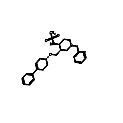 CS(=O)(=O)N[C@H]1CCN(Cc2ccccn2)C[C@H]1CO[C@H]1CC=C(c2ccccc2)CC1